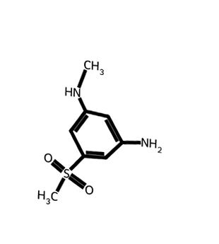 CNc1cc(N)cc(S(C)(=O)=O)c1